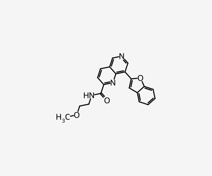 COCCNC(=O)c1ccc2cncc(-c3cc4ccccc4o3)c2n1